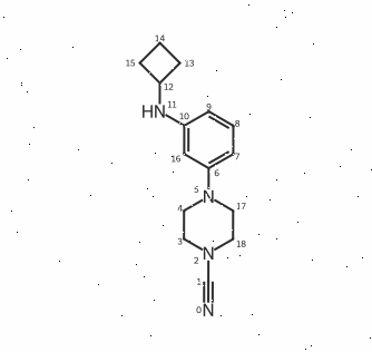 N#CN1CCN(c2cccc(NC3CCC3)c2)CC1